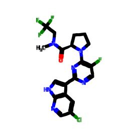 CN(CC(F)(F)F)C(=O)[C@H]1CCCN1c1nc(-c2c[nH]c3ncc(Cl)cc23)ncc1F